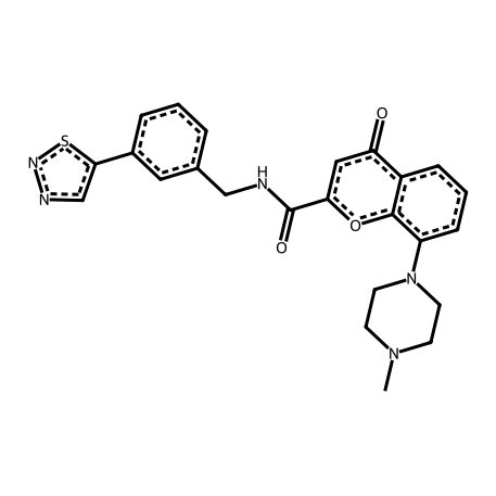 CN1CCN(c2cccc3c(=O)cc(C(=O)NCc4cccc(-c5cnns5)c4)oc23)CC1